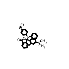 CCOc1ccc(N(c2ccccc2)C2(c3ccc(N(C)C)cc3Cl)OC(=O)c3ccccc32)cc1